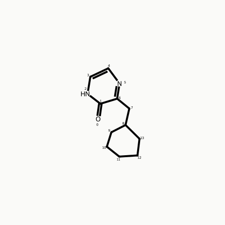 O=c1[nH]ccnc1CC1CCCCC1